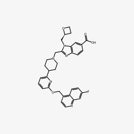 O=C(O)c1ccc2nc(CN3CCC(c4cccc(OCc5ccnc6cc(F)ccc56)n4)CC3)n(C[C@@H]3CCO3)c2c1